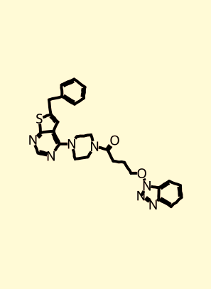 O=C(CCCOn1nnc2ccccc21)N1CCN(c2ncnc3sc(Cc4ccccc4)cc23)CC1